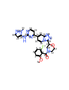 COc1cccc(F)c1C(=O)N1CCOC(c2nnc3cc(-c4ccnc(Nc5ccnn5C)n4)ccn23)C1